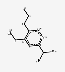 CCCc1nnc(C(F)F)cc1CCl